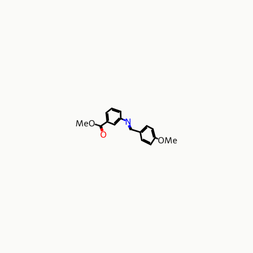 COC(=O)c1cccc(N=Cc2ccc(OC)cc2)c1